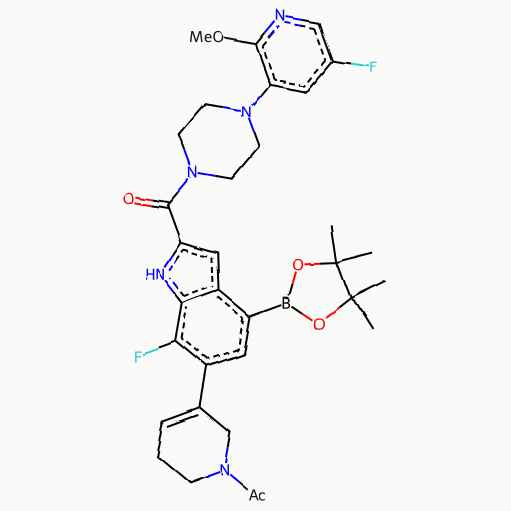 COc1ncc(F)cc1N1CCN(C(=O)c2cc3c(B4OC(C)(C)C(C)(C)O4)cc(C4=CCCN(C(C)=O)C4)c(F)c3[nH]2)CC1